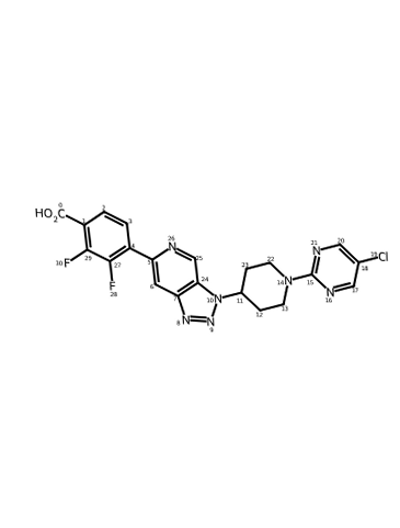 O=C(O)c1ccc(-c2cc3nnn(C4CCN(c5ncc(Cl)cn5)CC4)c3cn2)c(F)c1F